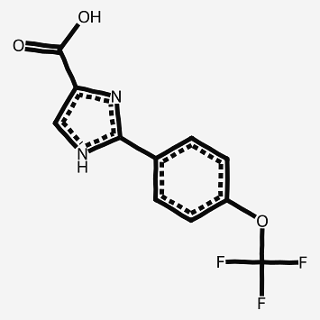 O=C(O)c1c[nH]c(-c2ccc(OC(F)(F)F)cc2)n1